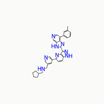 Cc1cccc(-c2cncc3[nH]c(-c4n[nH]c5ccc(-c6cncc(CNCC7CCCC7)c6)nc45)nc23)c1